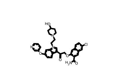 NC(=O)c1cc2cc(Cl)ccc2cc1OCC(=O)c1cn(CCN2CCC(O)CC2)c2cc(Oc3cccnc3)ccc12